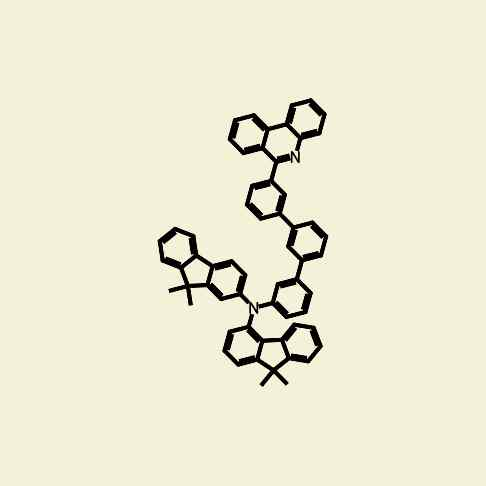 CC1(C)c2ccccc2-c2ccc(N(c3cccc(-c4cccc(-c5cccc(-c6nc7ccccc7c7ccccc67)c5)c4)c3)c3cccc4c3-c3ccccc3C4(C)C)cc21